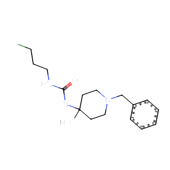 CC1(NC(=O)NCCCCl)CCN(Cc2ccccc2)CC1